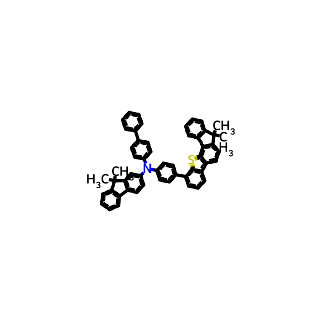 CC1(C)c2ccccc2-c2ccc(N(c3ccc(-c4ccccc4)cc3)c3ccc(-c4cccc5c4sc4c6c(ccc45)C(C)(C)c4ccccc4-6)cc3)cc21